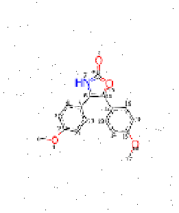 COc1ccc(-c2[nH]c(=O)oc2-c2ccc(OC)cc2)cc1